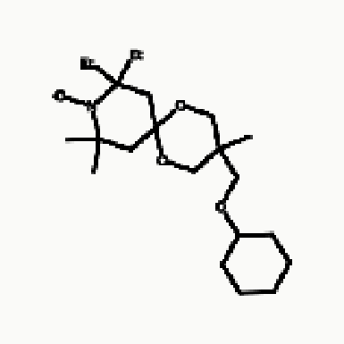 CCC1(CC)CC2(CC(C)(C)N1[O])OCC(C)(COC1CCCCC1)CO2